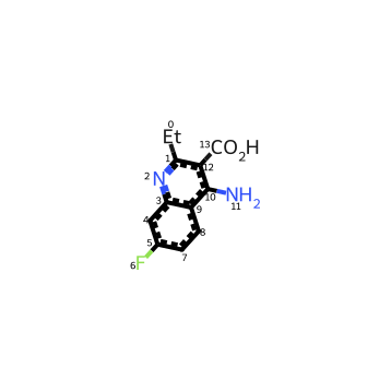 CCc1nc2cc(F)ccc2c(N)c1C(=O)O